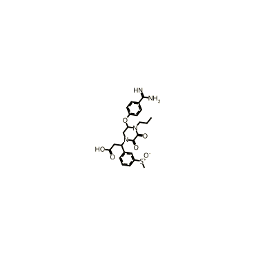 CCCN1C(=O)C(=O)N(C(CC(=O)O)c2cccc([S+](C)[O-])c2)CC1Oc1ccc(C(=N)N)cc1